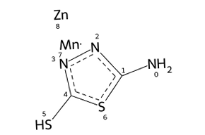 Nc1nnc(S)s1.[Mn].[Zn]